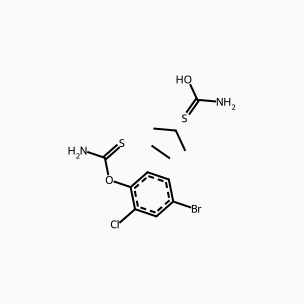 CC.CCC.NC(=S)Oc1ccc(Br)cc1Cl.NC(O)=S